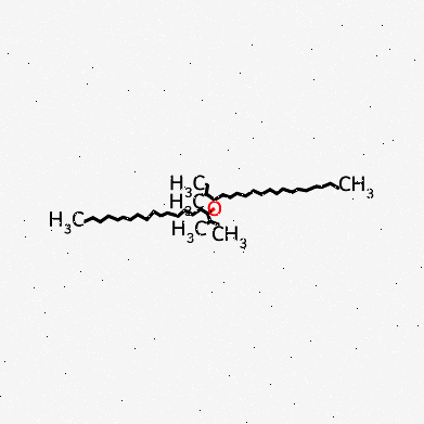 CCCCCCCCCCCCCCCCCC(OC(CCCCCCCCCCCCCCCCC)C(C)CC)C(C)CC